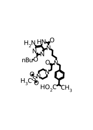 CCCCOc1nc(N)c2[nH]c(=O)n(CCCN(Cc3ccc(C(C)C(=O)O)cc3)C(=O)CN3CCN(S(C)(=O)=O)CC3)c2n1